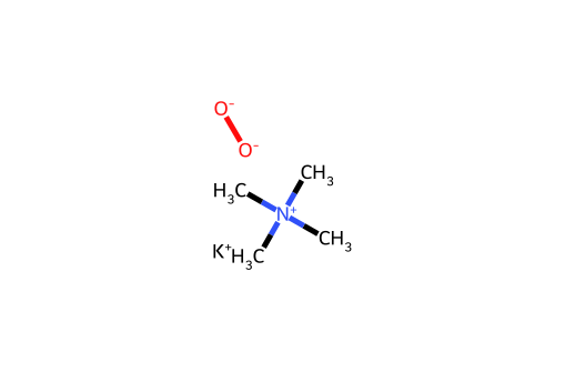 C[N+](C)(C)C.[K+].[O-][O-]